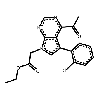 CCOC(=O)Cn1cc(-c2ccccc2Cl)c2c(C(C)=O)ncnc21